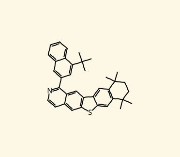 CC(C)(C)c1cc(-c2nccc3cc4sc5cc6c(cc5c4cc23)C(C)(C)CCC6(C)C)cc2ccccc12